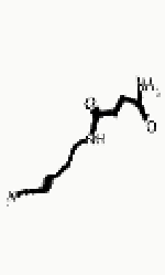 NCCCCNC(=O)CCC(N)=O